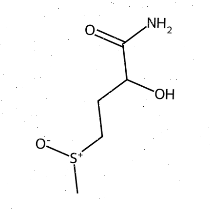 C[S+]([O-])CCC(O)C(N)=O